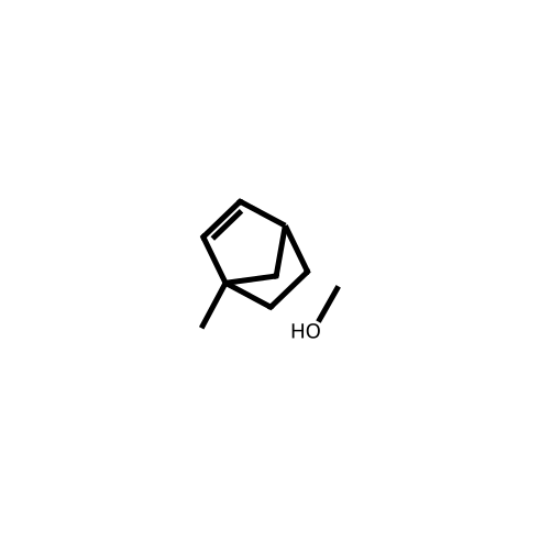 CC12C=CC(CC1)C2.CO